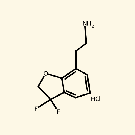 Cl.NCCc1cccc2c1OCC2(F)F